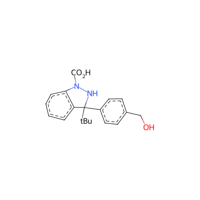 CC(C)(C)C1(c2ccc(CO)cc2)NN(C(=O)O)c2ccccc21